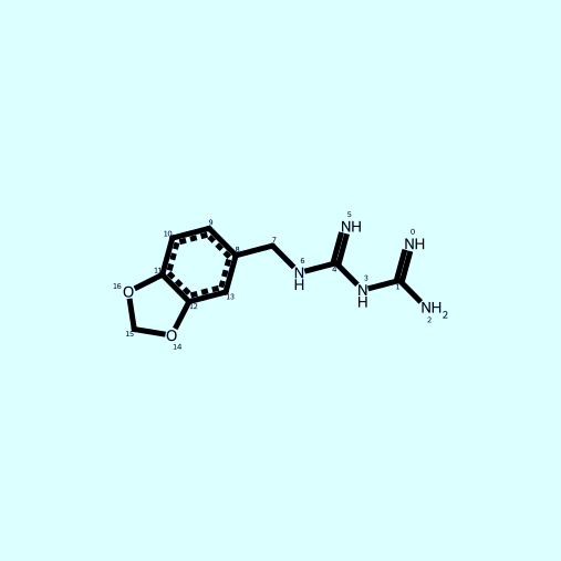 N=C(N)NC(=N)NCc1ccc2c(c1)OCO2